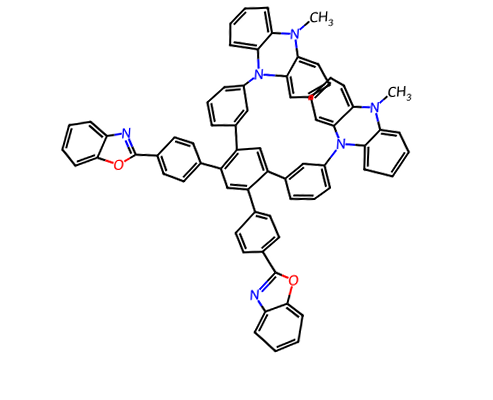 CN1c2ccccc2N(c2cccc(-c3cc(-c4cccc(N5c6ccccc6N(C)c6ccccc65)c4)c(-c4ccc(-c5nc6ccccc6o5)cc4)cc3-c3ccc(-c4nc5ccccc5o4)cc3)c2)c2ccccc21